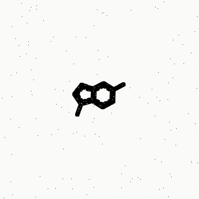 Cc1ccc2c(C)ccn2c1